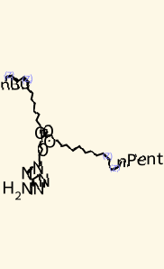 CCCC/C=C\C/C=C\CCCCCCCCOP(=O)(COCCn1cnc2c(N)ncnc21)OCCCCCCCC/C=C\C/C=C\CCCCC